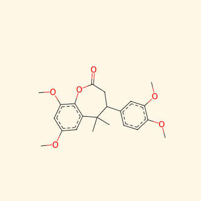 COc1cc(OC)c2c(c1)C(C)(C)C(c1ccc(OC)c(OC)c1)CC(=O)O2